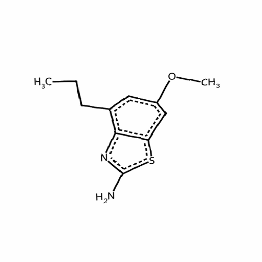 CCCc1cc(OC)cc2sc(N)nc12